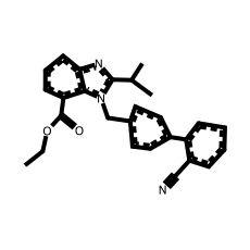 CCOC(=O)c1cccc2nc(C(C)C)n(Cc3ccc(-c4ccccc4C#N)cc3)c12